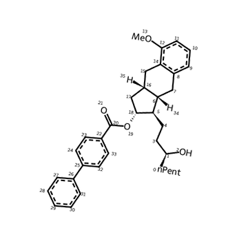 CCCCC[C@H](O)CC[C@@H]1[C@H]2Cc3cccc(OC)c3C[C@H]2C[C@H]1OC(=O)c1ccc(-c2ccccc2)cc1